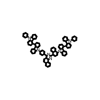 c1ccc(-n2c3ccccc3c3c(-c4cccc5c4c4ccccc4n5-c4ccc(-c5nc(-c6ccc(-n7c8ccccc8c8c(-c9cccc%10c9c9ccccc9n%10-c9ccccc9)cccc87)c7ccccc67)nc6c5ccc5ccccc56)cc4)cccc32)cc1